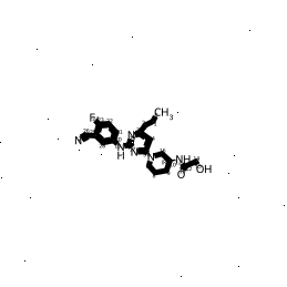 CCCc1cc(N2CCC[C@@H](NC(=O)CO)C2)nc(Nc2ccc(F)c(C#N)c2)n1